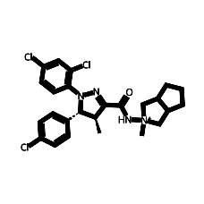 C[C@@H]1C(C(=O)N[N+]2(C)CC3CCCC3C2)=NN(c2ccc(Cl)cc2Cl)[C@H]1c1ccc(Cl)cc1